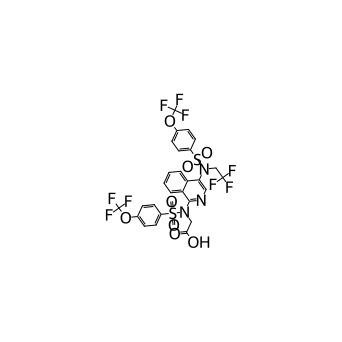 O=C(O)CN(c1ncc(N(CC(F)(F)F)S(=O)(=O)c2ccc(OC(F)(F)F)cc2)c2ccccc12)S(=O)(=O)c1ccc(OC(F)(F)F)cc1